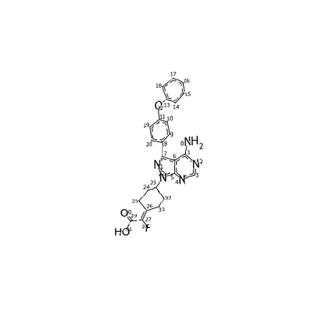 Nc1ncnc2c1c(-c1ccc(Oc3ccccc3)cc1)nn2C1CCC(=C(F)C(=O)O)CC1